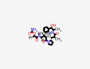 CCC(C)C(C(CC(=O)N1CCC[C@H]1C(OC)C(C)C(=O)NC(C)C(O)c1ccccc1)OC)N(C)C(=O)C(OC(N)=O)C(C)C